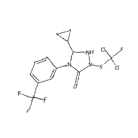 O=C1N(SC(F)(Cl)Cl)NC(C2CC2)N1c1cccc(C(F)(F)F)c1